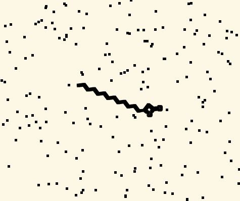 CCCCCCCCCCCCC[C@H]1CC(=O)O1